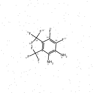 Nc1c(N)c(C(F)(F)F)c(C(F)(F)F)c(F)c1F